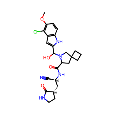 COc1ccc2[nH]c(C(O)N3CC4(CCC4)CC3C(=O)N[C@H](C#N)C[C@@H]3CCNC3=O)cc2c1Cl